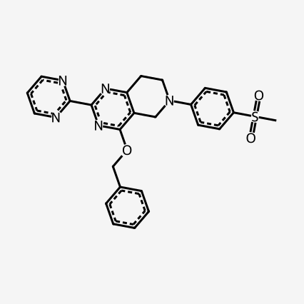 CS(=O)(=O)c1ccc(N2CCc3nc(-c4ncccn4)nc(OCc4ccccc4)c3C2)cc1